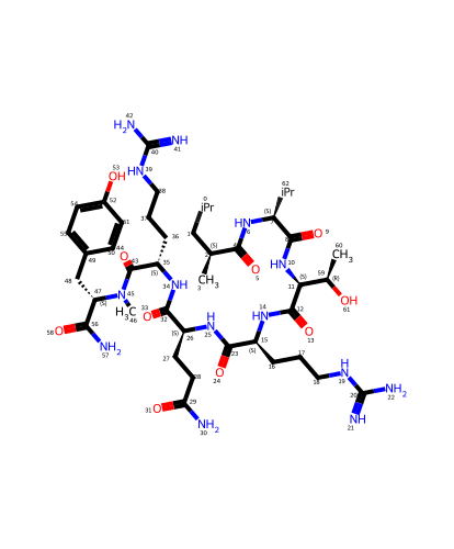 CC(C)C[C@H](C)C(=O)N[C@H](C(=O)N[C@H](C(=O)N[C@@H](CCCNC(=N)N)C(=O)N[C@@H](CCC(N)=O)C(=O)N[C@@H](CCCNC(=N)N)C(=O)N(C)[C@@H](Cc1ccc(O)cc1)C(N)=O)[C@@H](C)O)C(C)C